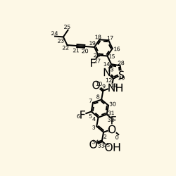 CO/C(=C\c1c(F)cc(C(=O)Nc2nc(-c3cccc(C#CCC(C)C)c3F)cs2)cc1F)C(=O)O